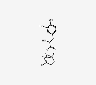 CC1(C)[C@@H]2CC[C@@]1(C)[C@@H](OC(=O)C(O)Cc1ccc(O)c(O)c1)C2